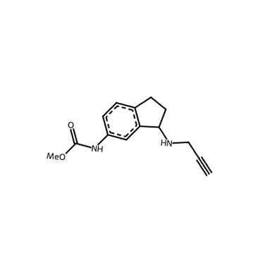 C#CCNC1CCc2ccc(NC(=O)OC)cc21